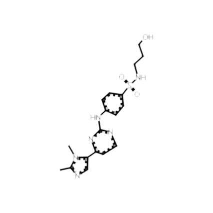 Cc1ncc(-c2ccnc(Nc3ccc(S(=O)(=O)NCCCO)cc3)n2)n1C